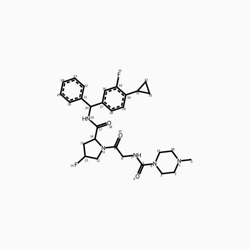 CN1CCN(C(=O)NCC(=O)N2CC(F)CC2C(=O)NC(c2ccccc2)c2ccc(C3CC3)c(F)c2)CC1